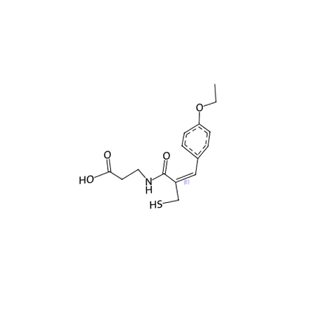 CCOc1ccc(/C=C(/CS)C(=O)NCCC(=O)O)cc1